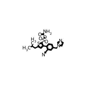 CC(C)Cc1cc(-c2ccc(Cn3ccnc3)cc2C#N)c(S(=O)(=O)OC(N)=O)s1